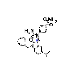 CC(C)c1ccc2c(c1)/C(=N/N(C(N)=S)c1ccc(S(N)(=O)=O)cc1)C(=O)N2Cc1ccccc1